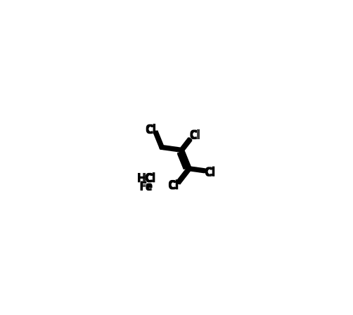 Cl.ClCC(Cl)=C(Cl)Cl.[Fe]